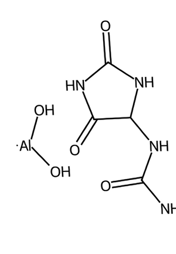 NC(=O)NC1NC(=O)NC1=O.[OH][Al][OH]